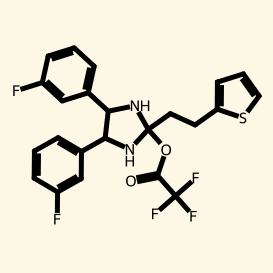 O=C(OC1(CCc2cccs2)NC(c2cccc(F)c2)C(c2cccc(F)c2)N1)C(F)(F)F